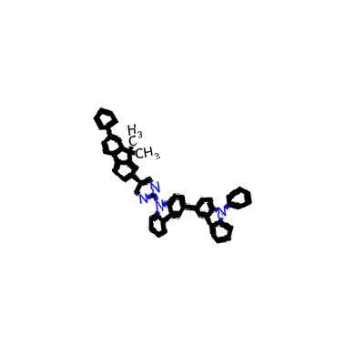 CC1(C)c2cc(-c3ccccc3)ccc2-c2ccc(-c3cnc(-n4c5ccccc5c5cc(-c6ccc7c(c6)c6ccccc6n7-c6ccccc6)ccc54)nc3)cc21